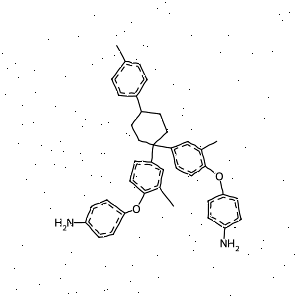 Cc1ccc(C2CCC(c3ccc(Oc4ccc(N)cc4)c(C)c3)(c3ccc(Oc4ccc(N)cc4)c(C)c3)CC2)cc1